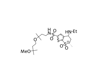 CCNC1C[C@H](C)S(=O)(=O)c2sc(S(=O)(=O)NCCC(C)(C)OCCC(C)(C)OC)cc21